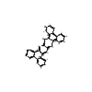 c1ccc2c(c1)c1ccccc1c1cc3cc4c5ccccc5c5ccccc5c4cc3cc21